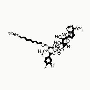 CCCCCCCCCCCCCCCCCCOC[C@H](COP(=O)(O)OC1[C@H]2O[C@@](C#N)(c3ccc4c(N)ncnn34)[C@H](O)[C@@]12O)N(C)C(=O)c1ccc(F)c(Cl)c1